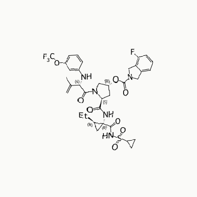 C=C(C)[C@H](Nc1cccc(OC(F)(F)F)c1)C(=O)N1C[C@H](OC(=O)N2Cc3cccc(F)c3C2)C[C@H]1C(=O)N[C@]1(C(=O)NS(=O)(=O)C2CC2)C[C@H]1CC